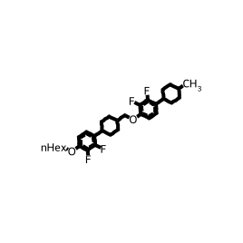 CCCCCCOc1ccc(C2CCC(COc3ccc(C4CCC(C)CC4)c(F)c3F)CC2)c(F)c1F